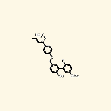 CC=C[C@H](CC(=O)O)c1ccc(OCc2ccc(C(C)(C)C)c(-c3cc(OC)ccc3F)c2)cc1